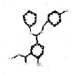 COC(=O)c1cc(C(OCc2ccc(Cl)cc2)Oc2ccccc2)ccc1C